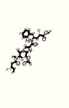 CC[C@H](C)CC(=O)N(C)C(C[C@@H](OC(C)=O)c1nc(C(=O)N[C@@H](Cc2ccccc2)C[C@H](C)C(=O)OC)cs1)C(C)C